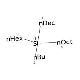 CCCCCCCCCC[Si](CCCC)(CCCCCC)CCCCCCCC